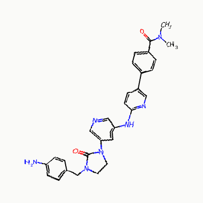 CN(C)C(=O)c1ccc(-c2ccc(Nc3cncc(N4CCN(Cc5ccc(N)cc5)C4=O)c3)nc2)cc1